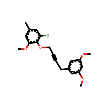 COc1cc(CC#CCOc2c(Cl)cc(C)cc2OC)cc(OC)c1